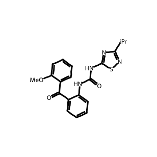 COc1ccccc1C(=O)c1ccccc1NC(=O)Nc1nc(C(C)C)ns1